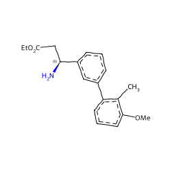 CCOC(=O)C[C@H](N)c1cccc(-c2cccc(OC)c2C)c1